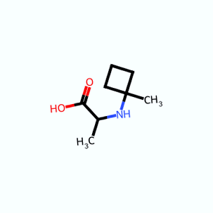 CC(NC1(C)CCC1)C(=O)O